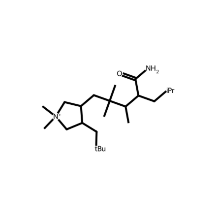 CC(C)CC(C(N)=O)C(C)C(C)(C)CC1C[N+](C)(C)CC1CC(C)(C)C